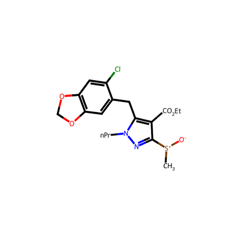 CCCn1nc([S+](C)[O-])c(C(=O)OCC)c1Cc1cc2c(cc1Cl)OCO2